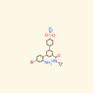 Nc1cc(Br)ccc1-c1cc(C(=O)NC2CC2)cc(-c2ccc(S(N)(=O)=O)cc2)c1